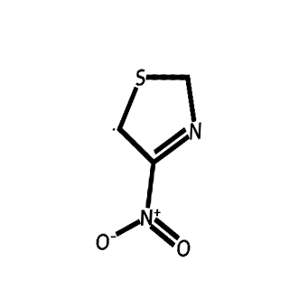 O=[N+]([O-])C1=NCS[CH]1